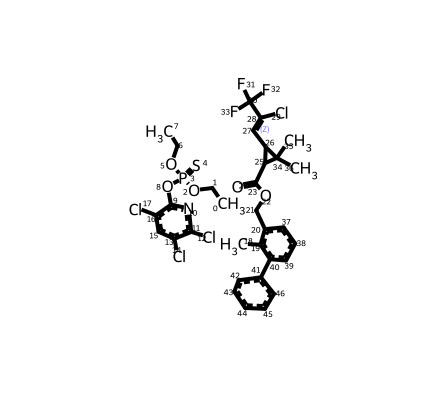 CCOP(=S)(OCC)Oc1nc(Cl)c(Cl)cc1Cl.Cc1c(COC(=O)C2C(/C=C(\Cl)C(F)(F)F)C2(C)C)cccc1-c1ccccc1